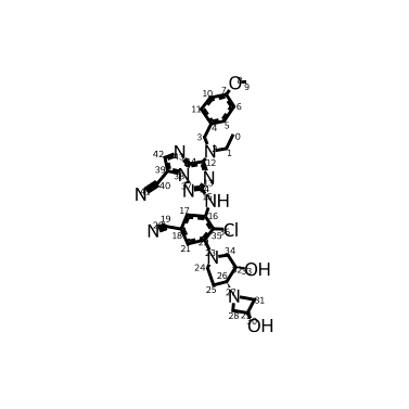 CCN(Cc1ccc(OC)cc1)c1nc(Nc2cc(C#N)cc(N3CC[C@@H](N4CC(O)C4)[C@H](O)C3)c2Cl)nn2c(C#N)cnc12